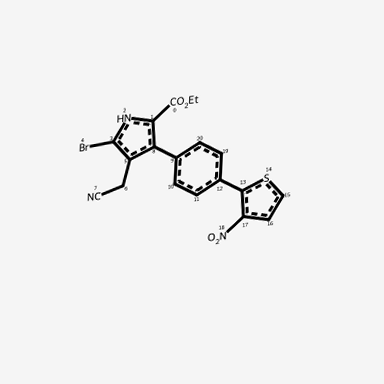 CCOC(=O)c1[nH]c(Br)c(CC#N)c1-c1ccc(-c2sccc2[N+](=O)[O-])cc1